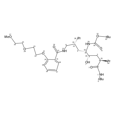 CCCCNC(=O)[C@@H](C[C@H](O)[C@H](C[C@H](CNC(=O)c1ccccc1OCCOCCOC)C(C)C)NC(=O)OC(C)(C)C)C(C)C